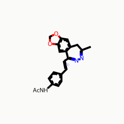 CC(=O)Nc1ccc(/C=C/C2=NN=C(C)Cc3cc4c(cc32)OCO4)cc1